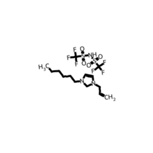 C=CCN1C=CN(CCCCCC)C1.O=S(=O)(NS(=O)(=O)C(F)(F)F)C(F)(F)F